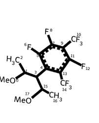 COC(C)C(c1c(F)c(F)c(C(F)(F)F)c(F)c1C(F)(F)F)C(C)OC